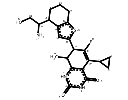 CC1c2[nH]c(=O)[nH]c(=O)c2C(C2CC2)=C(F)C1c1cc2c(s1)CCCC2C(N)CO